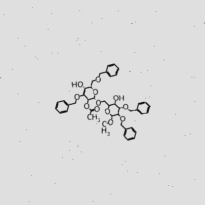 CO[C@H]1OC(CO[C@H]2OC(COCc3ccccc3)[C@@H](O)C(OCc3ccccc3)C2OC(C)=O)[C@@H](O)C(OCc2ccccc2)C1OCc1ccccc1